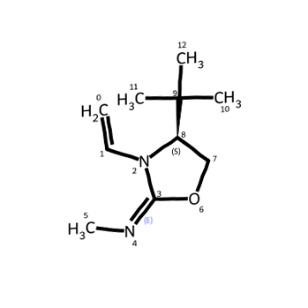 C=CN1/C(=N\C)OC[C@@H]1C(C)(C)C